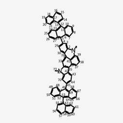 CN1c2cc(-c3c4ccccc4c(-c4cccc5ccccc45)c4ccccc34)ccc2-c2cc3c(c4cccc1c24)c1ccc(-c2c4ccccc4c(-c4cccc5ccccc45)c4ccccc24)cc1n3C